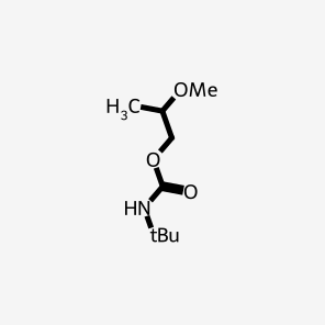 COC(C)COC(=O)NC(C)(C)C